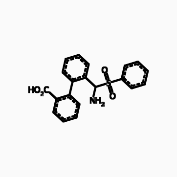 NC(c1ccccc1-c1ccccc1C(=O)O)S(=O)(=O)c1ccccc1